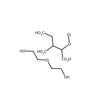 CCOC(C(=O)O)C(CC(=O)O)C(=O)O.OCCOCCO